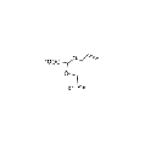 C=CCOC(OCC=C)C(=O)[O-].[K+]